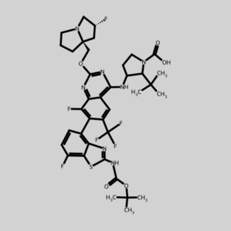 CC(C)(C)OC(=O)Nc1nc2c(-c3c(C(F)(F)F)cc4c(NC5CCN(C(=O)O)C5C(C)(C)C)nc(OC[C@@]56CCCN5C[C@H](F)C6)nc4c3F)ccc(F)c2s1